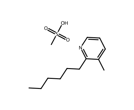 CCCCCCc1ncccc1C.CS(=O)(=O)O